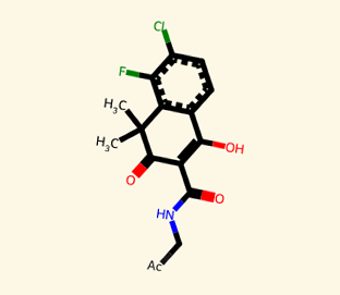 CC(=O)CNC(=O)C1=C(O)c2ccc(Cl)c(F)c2C(C)(C)C1=O